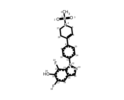 CS(=O)(=O)N1CC=C(c2ccc(-n3ncc4cc(F)c(O)c(F)c43)cc2)CC1